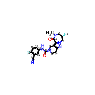 CN1C[C@@H](F)Cn2nc3c(c2C1=O)CN(C(=O)Nc1ccc(F)c(C#N)c1)CC3